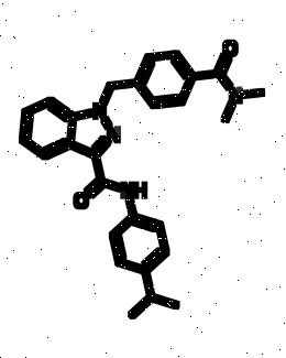 CC(C)c1ccc(NC(=O)c2nn(Cc3ccc(C(=O)N(C)C)cc3)c3ccccc23)cc1